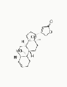 C[C@]12CC[C@H]3[C@@H](CC[C@@H]4C=CCC[C@@]43CO)[C@@]1(O)CC[C@@H]2C1=CC(=O)OC1